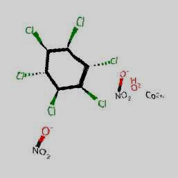 Cl[C@H]1[C@H](Cl)[C@@H](Cl)[C@@H](Cl)[C@H](Cl)[C@H]1Cl.O.O=[N+]([O-])[O-].O=[N+]([O-])[O-].[Co+2]